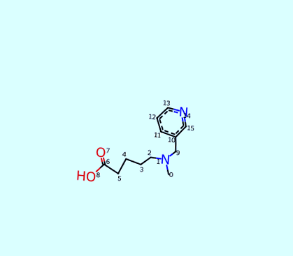 CN(CCCCC(=O)O)Cc1cccnc1